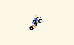 CC(O)c1nc2cnc3c(ccn3S(=O)(=O)c3ccccc3)c2n1C1CCNC[C@H]1F